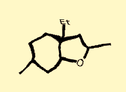 CCC12CCC(C)CC1OC(C)C2